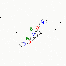 Brc1c(OCCN2CCCCC2)ccc2cc3c(nc12)CC(Br)(OCCN1CCCCC1)C=C3